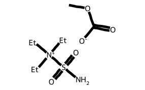 CC[N+](CC)(CC)S(N)(=O)=O.COC(=O)[O-]